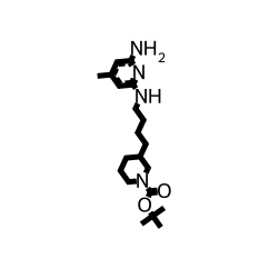 Cc1cc(N)nc(NCCCCC2CCCN(C(=O)OC(C)(C)C)C2)c1